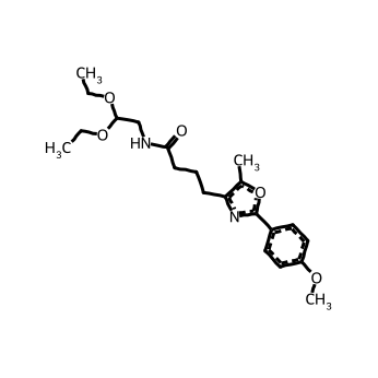 CCOC(CNC(=O)CCCc1nc(-c2ccc(OC)cc2)oc1C)OCC